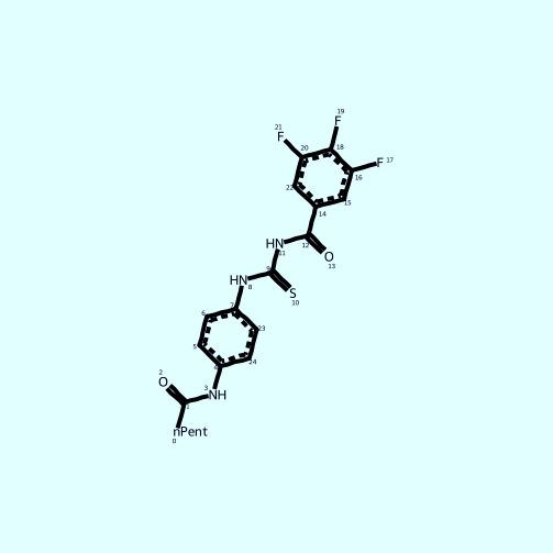 CCCCCC(=O)Nc1ccc(NC(=S)NC(=O)c2cc(F)c(F)c(F)c2)cc1